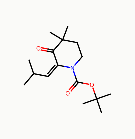 CC(C)/C=C1\C(=O)C(C)(C)CCN1C(=O)OC(C)(C)C